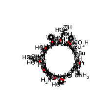 CCCC[C@H]1C(=O)N(C)[C@@H](CCCC)C(=O)N[C@@H](CC(C)C)C(=O)N[C@H](C(=O)NCC(N)=O)CSCC(=O)N[C@@H](Cc2ccc(O)cc2)C(=O)N(C)[C@@H](C)C(=O)N[C@@H](CC(N)=O)C(=O)N2CCC[C@H]2C(=O)N[C@@H](CNCC[C@@H](O)C(O)CO)C(=O)N[C@@H](CC(C)C)C(=O)N2C[C@H](O)C[C@H]2C(=O)N[C@@H](Cc2c[nH]c3ccccc23)C(=O)N[C@@H](CCNCC[C@H](O)C(O)CO)C(=O)N[C@@H](Cc2cn(CC(=O)O)c3ccccc23)C(=O)N1C